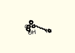 Oc1ccc2c(c1)[C@@H](c1ccc(CCCCCCCCN3CCCC3)cc1)[C@@H](c1ccccc1)CO2